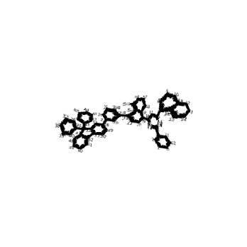 c1ccc(-c2nc(-c3cccc4ccccc34)cc(-c3ccc(-c4cccc(-c5ccc6c(c5)C(c5ccccc5)(c5ccccc5)c5ccccc5-6)c4)c4ccccc34)n2)cc1